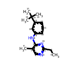 CCc1ncc(C)c(Nc2cccc(C(C)(C)C)c2)n1